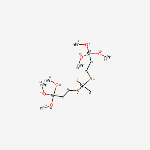 CCCO[Si](CC[S][Sn]([CH3])([CH3])[S]CC[Si](OCCC)(OCCC)OCCC)(OCCC)OCCC